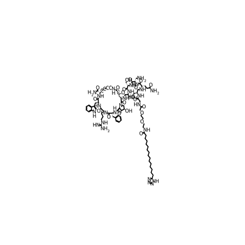 CCCC[C@H](NC(=O)[C@H](CO)NC(=O)[C@H](CN)NC(=O)[C@H](CCC(N)=O)NC(=O)[C@H](CO)NC(=O)CNC(=O)COCCOCCNC(=O)CCCCCCCCCCCCCCCc1nnn[nH]1)C(=O)N[C@H]1CCC(=O)NCCCC[C@@H](C(N)=O)NC(=O)[C@H](Cc2c[nH]c3ccccc23)NC(=O)[C@H](CCCNC(=N)N)NC(=O)[C@@H](Cc2ccccc2)NC(=O)[C@@H]2C[C@@H](O)CN2C1=O